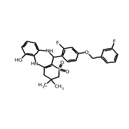 CC1(C)CC2=C(C(c3ccc(OCc4cccc(F)c4)cc3F)Nc3cccc(O)c3N2)S(=O)(=O)C1